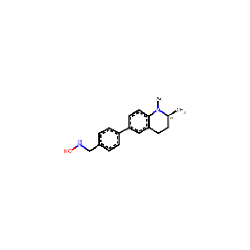 CC(=O)N1c2ccc(-c3ccc(CNO)cc3)cc2CC[C@@H]1C